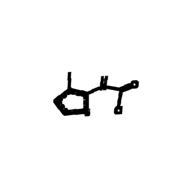 Cc1ccsc1NC(=O)Cl